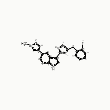 Cn1cc(-c2cnc3[nH]cc(-c4nnc(Cc5ccccc5F)o4)c3c2)cn1